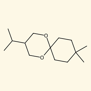 CC(C)C1COC2(CCC(C)(C)CC2)OC1